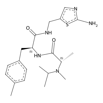 Cc1ccc(C[C@H](NC(=O)[C@H](C)N(C)C(C)C)C(=O)NCc2cnc(N)s2)cc1